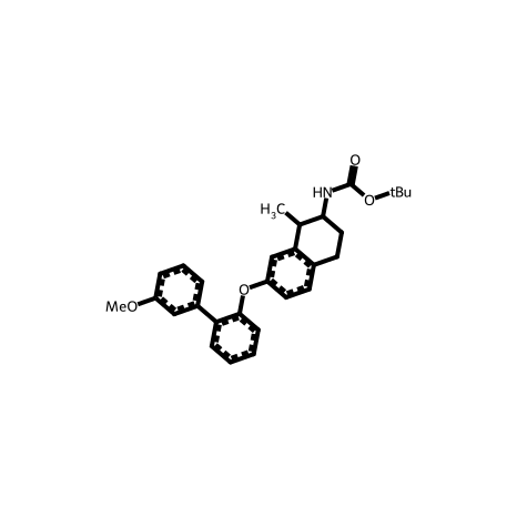 COc1cccc(-c2ccccc2Oc2ccc3c(c2)C(C)C(NC(=O)OC(C)(C)C)CC3)c1